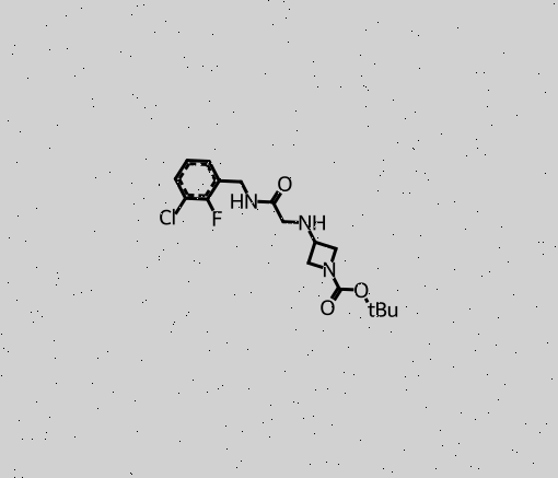 CC(C)(C)OC(=O)N1CC(NCC(=O)NCc2cccc(Cl)c2F)C1